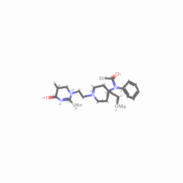 CCC(=O)N(c1ccccc1)C1(COC)CCN(CCN2CC(C)C(=O)N=C2SC)CC1